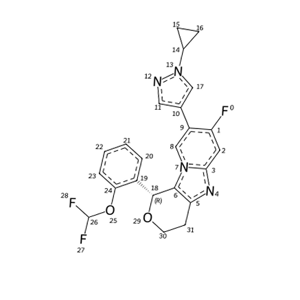 Fc1cc2nc3c(n2cc1-c1cnn(C2CC2)c1)[C@@H](c1ccccc1OC(F)F)OCC3